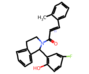 Cc1ccccc1/C=C/C(=O)N1CCc2ccccc2C1c1cc(F)ccc1O